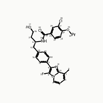 Cc1cccn2c(F)c(-c3ccc(C[C@@H](CCO)NC(=O)c4ccc(OC(C)C)c(Cl)c4)cc3)nc12